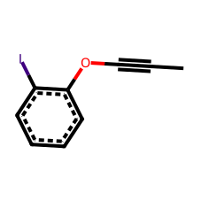 CC#COc1ccccc1I